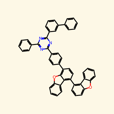 c1ccc(-c2cccc(-c3nc(-c4ccccc4)nc(-c4ccc(-c5ccc(-c6cccc7oc8ccccc8c67)c6c5oc5ccccc56)cc4)n3)c2)cc1